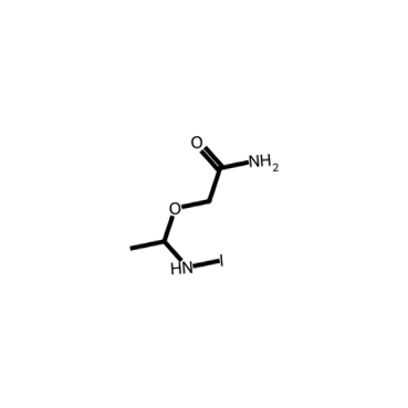 CC(NI)OCC(N)=O